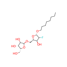 CCCCCCCCO[C@H]1O[C@H](CO[C@H]2O[C@H](CO)[C@H](O)C2O)[C@H](O)C1F